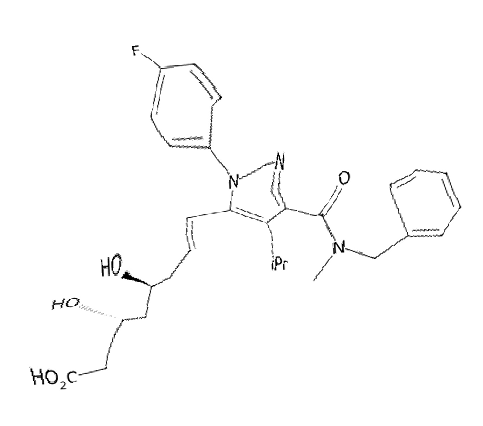 CC(C)c1c(C(=O)N(C)Cc2ccccc2)nn(-c2ccc(F)cc2)c1C=C[C@H](O)C[C@@H](O)CC(=O)O